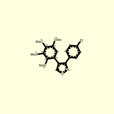 CCc1ccc(-c2nocc2-c2cc(OC)c(OC)c(OC)c2OC)cc1